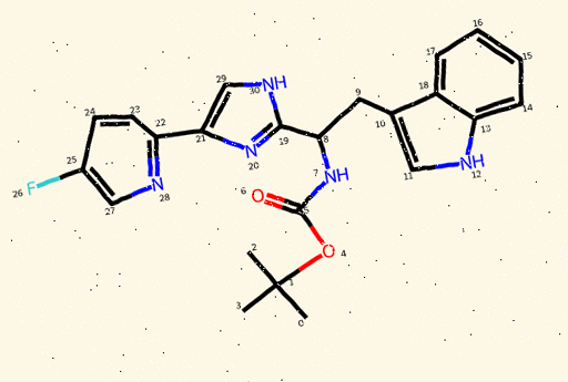 CC(C)(C)OC(=O)NC(Cc1c[nH]c2ccccc12)c1nc(-c2ccc(F)cn2)c[nH]1